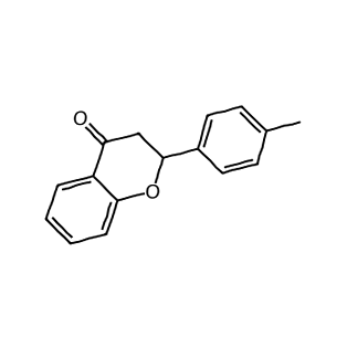 Cc1ccc(C2CC(=O)c3ccccc3O2)cc1